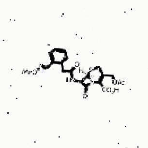 CO/N=C/c1ccccc1CC(=O)NC1C(=O)N2C(C(=O)O)=C(COC(C)=O)CS[C@H]12